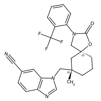 C[C@]1(Cn2cnc3ccc(C#N)cc32)CCC[C@@]2(CN(c3ccccc3C(F)(F)F)C(=O)O2)C1